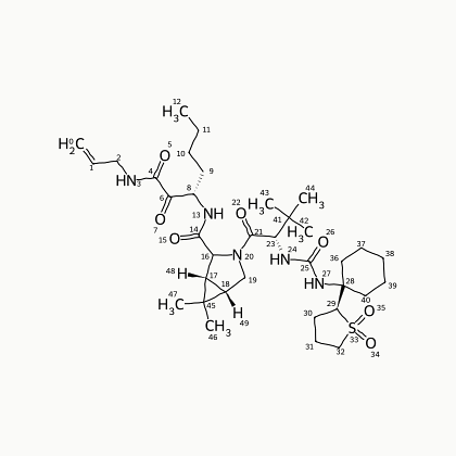 C=CCNC(=O)C(=O)[C@H](CCCC)NC(=O)C1[C@@H]2[C@H](CN1C(=O)[C@@H](NC(=O)NC1([C@@H]3CCCS3(=O)=O)CCCCC1)C(C)(C)C)C2(C)C